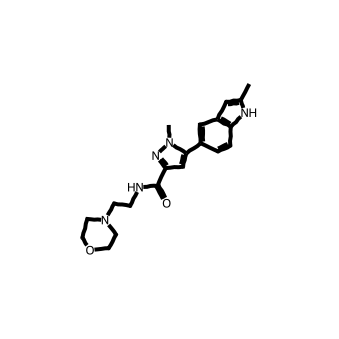 Cc1cc2cc(-c3cc(C(=O)NCCN4CCOCC4)nn3C)ccc2[nH]1